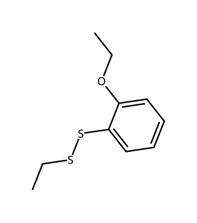 CCOc1ccccc1SSCC